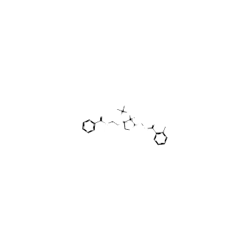 Cc1ccccc1C(=O)NC[C@H]1OC[C@]2(CCNC(=O)c3ccccc3)OC(C)(C)O[C@H]12